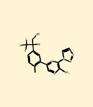 Cc1ccc(C(O)(CO)C(F)(F)F)cc1-c1cnc(N)c(-n2ccnn2)n1